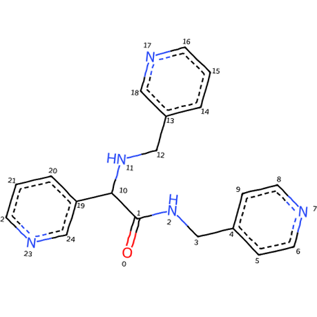 O=C(NCc1ccncc1)C(NCc1cccnc1)c1cccnc1